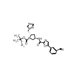 CC(C)(C)OC(=O)N1C[C@H](NC(=O)c2ncc(-c3cccc(C#N)c3)o2)C[C@H]1Cn1cncn1